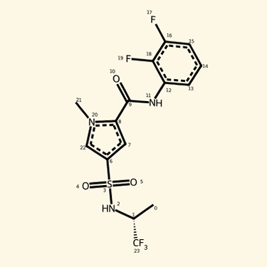 C[C@@H](NS(=O)(=O)c1cc(C(=O)Nc2cccc(F)c2F)n(C)c1)C(F)(F)F